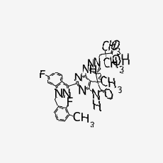 Cc1cccc(Cn2nc(-c3nc(N)c4c(n3)NC(=O)C4(C)c3cnn(CC(C)(C)C(=O)O)c3)c3ccc(F)cc32)c1F